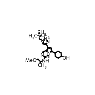 COCC(C)Nc1ncc2c(-c3cn(C[Si](C)(C)C)nn3)cc(C3CCC(O)CC3)n2n1